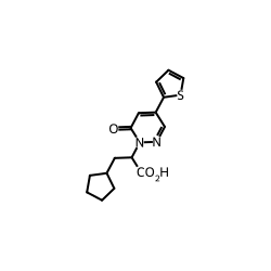 O=C(O)C(CC1CCCC1)n1ncc(-c2cccs2)cc1=O